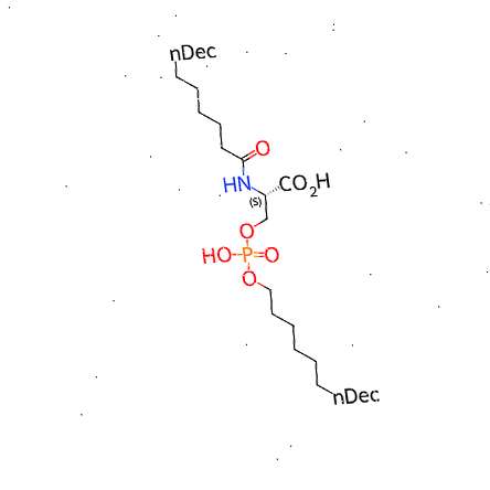 CCCCCCCCCCCCCCCCOP(=O)(O)OC[C@H](NC(=O)CCCCCCCCCCCCCCC)C(=O)O